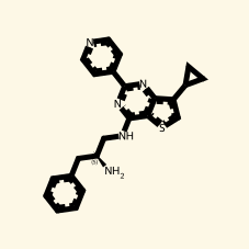 N[C@H](CNc1nc(-c2ccncc2)nc2c(C3CC3)csc12)Cc1ccccc1